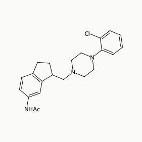 CC(=O)Nc1ccc2c(c1)C(CN1CCN(c3ccccc3Cl)CC1)CC2